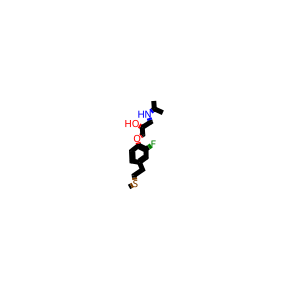 CSCCc1ccc(OCC(O)CNC(C)C)c(F)c1